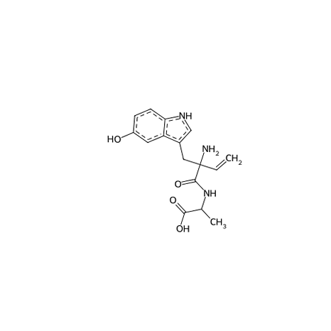 C=CC(N)(Cc1c[nH]c2ccc(O)cc12)C(=O)NC(C)C(=O)O